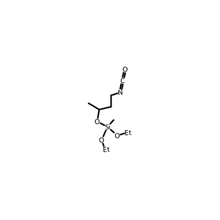 CCO[Si](C)(OCC)OC(C)CCN=C=O